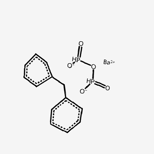 O=[PH]([O-])O[PH](=O)[O-].[Ba+2].c1ccc(Cc2ccccc2)cc1